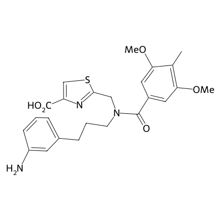 COc1cc(C(=O)N(CCCc2cccc(N)c2)Cc2nc(C(=O)O)cs2)cc(OC)c1C